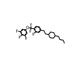 CCCCC1CCC(CCc2ccc(C(F)(F)Oc3cc(F)c(F)c(F)c3)c(F)c2)CC1